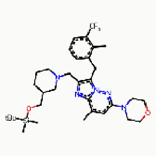 Cc1c(Cc2c(CN3CCCC(CO[Si](C)(C)C(C)(C)C)C3)nc3c(C)cc(N4CCOCC4)nn23)cccc1C(F)(F)F